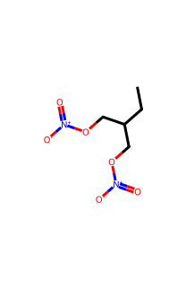 CCC(CO[N+](=O)[O-])CO[N+](=O)[O-]